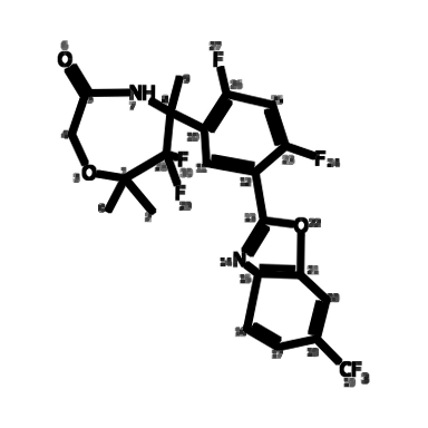 CC1(C)OCC(=O)NC(C)(c2cc(-c3nc4ccc(C(F)(F)F)cc4o3)c(F)cc2F)C1(F)F